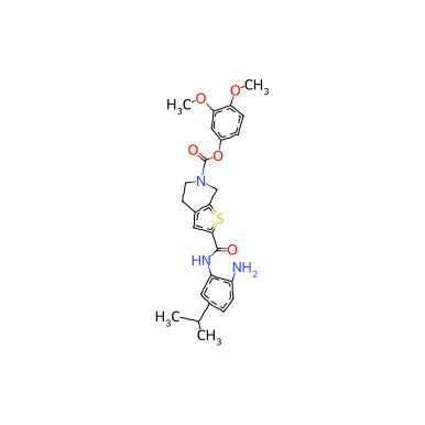 COc1ccc(OC(=O)N2CCc3cc(C(=O)Nc4cc(C(C)C)ccc4N)sc3C2)cc1OC